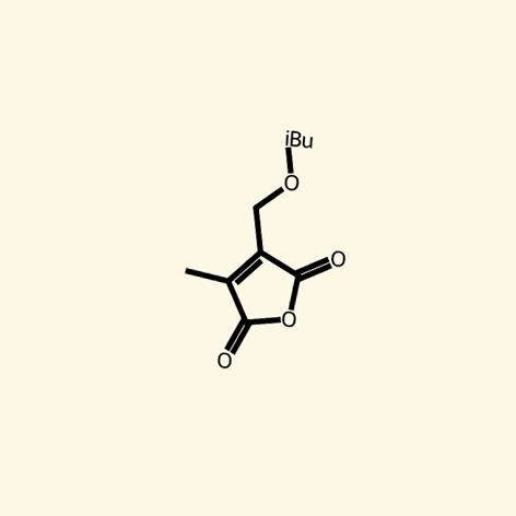 CCC(C)OCC1=C(C)C(=O)OC1=O